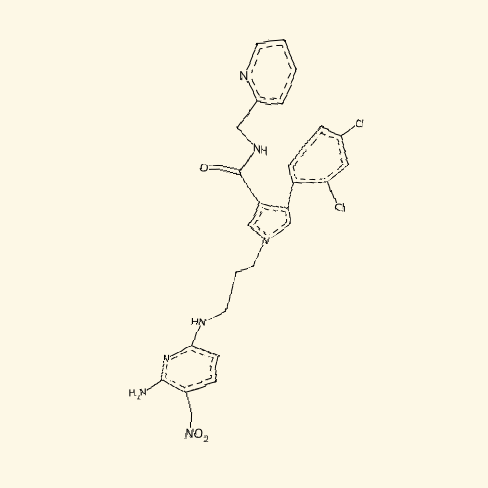 Nc1nc(NCCCn2cc(C(=O)NCc3ccccn3)c(-c3ccc(Cl)cc3Cl)c2)ccc1[N+](=O)[O-]